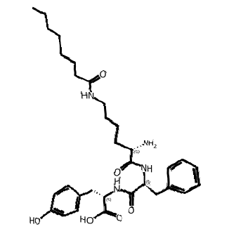 CCCCCCCC(=O)NCCCC[C@H](N)C(=O)N[C@@H](Cc1ccccc1)C(=O)N[C@@H](Cc1ccc(O)cc1)C(=O)O